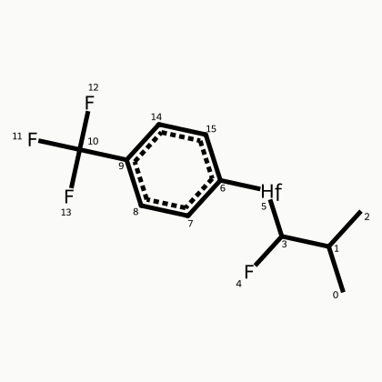 CC(C)[CH](F)[Hf][c]1ccc(C(F)(F)F)cc1